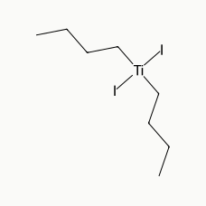 CCC[CH2][Ti]([I])([I])[CH2]CCC